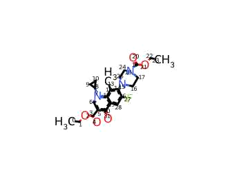 CCOC(=O)c1cn(C2CC2)c2c(C)c(N3CCN(C(=O)OCC)CC3)c(F)cc2c1=O